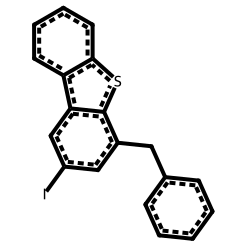 Ic1cc(Cc2ccccc2)c2sc3ccccc3c2c1